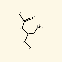 CCC(CN)CC(C)=O